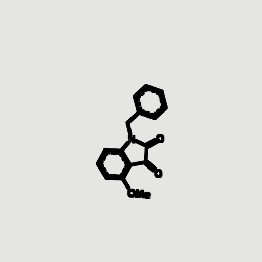 COc1cccc2c1C(=O)C(=O)N2Cc1ccccc1